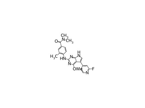 COc1nc(Nc2ccc(C(=O)N(C)C)cc2C)nc2[nH]cc(-c3ccnc(F)c3)c12